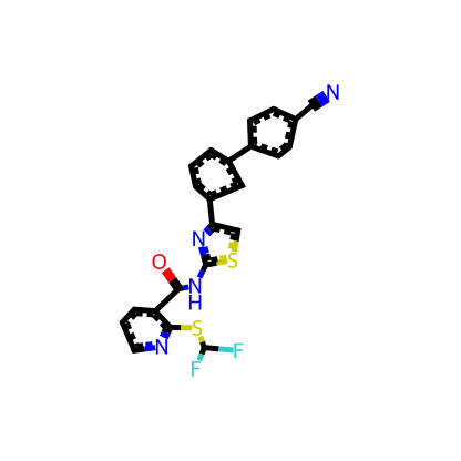 N#Cc1ccc(-c2cccc(-c3csc(NC(=O)c4cccnc4SC(F)F)n3)c2)cc1